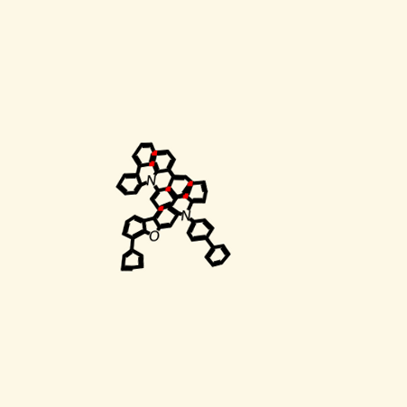 c1ccc(-c2ccc(N(c3ccc4c(c3)oc3c(-c5ccccc5)cccc34)c3ccccc3-c3cccc(N(c4ccccc4-c4ccccc4)c4ccccc4-c4ccccc4)c3)cc2)cc1